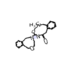 CN1CO/C(N2CCOCc3ccccc3CC2)=N\C(=O)Cc2ccccc2C1